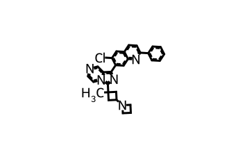 CC1(c2nc(-c3cc4nc(-c5ccccc5)ccc4cc3Cl)c3cnccn23)CC(N2CCC2)C1